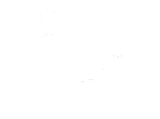 CC(C)(O)c1ccccc1C#Cc1ccccc1